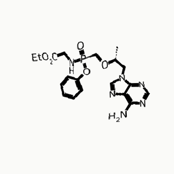 CCOC(=O)CN[P@@](=O)(CO[C@H](C)Cn1cnc2c(N)ncnc21)Oc1ccccc1